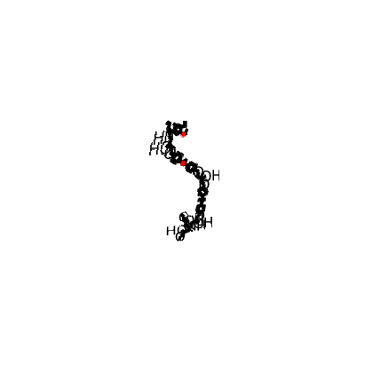 C=C/C=C(/NCC(O)COc1ccc(C(C)(C)c2ccc(OCC(O)COc3ccc(C(C)(C)c4ccc(OCC(O)CNN(CC(O)COC)CC(O)COC)cc4)cc3)cc2)cc1)c1cc(/C=C\C)c(C=C)cc1C